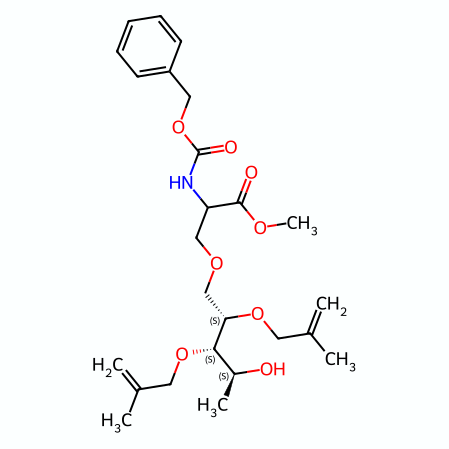 C=C(C)CO[C@@H]([C@H](C)O)[C@H](COCC(NC(=O)OCc1ccccc1)C(=O)OC)OCC(=C)C